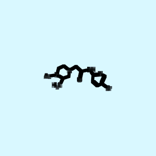 CC(=O)N1CCN(CC(=O)Nc2ccc(Br)cn2)CC1C